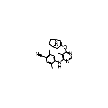 Cc1cc(Nc2ncnc(OC3CC4CCC(C3)N4)c2C)c(C)cc1C#N